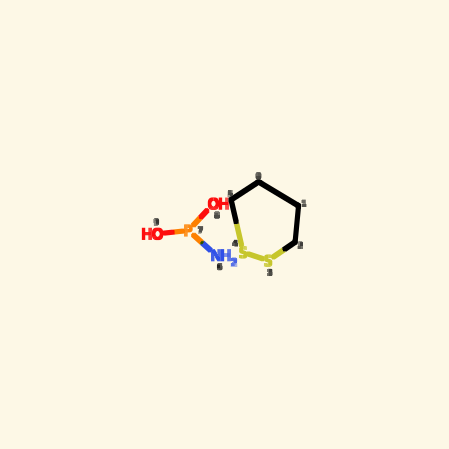 C1CCSSC1.NP(O)O